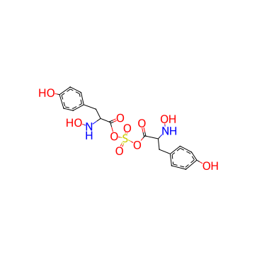 O=C(OS(=O)(=O)OC(=O)C(Cc1ccc(O)cc1)NO)C(Cc1ccc(O)cc1)NO